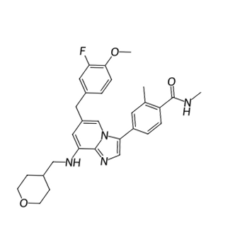 CNC(=O)c1ccc(-c2cnc3c(NCC4CCOCC4)cc(Cc4ccc(OC)c(F)c4)cn23)cc1C